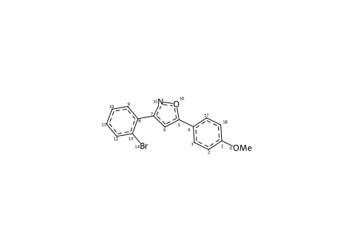 COc1ccc(-c2cc(-c3ccccc3Br)no2)cc1